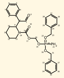 O=CC(c1ccccc1)C1CCCCN1C(=O)OCO[PH](P)(OCc1ccccc1)OCc1ccccc1